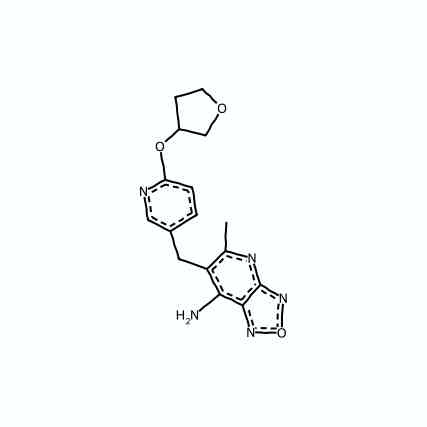 Cc1nc2nonc2c(N)c1Cc1ccc(OC2CCOC2)nc1